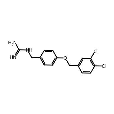 N=C(N)NCc1ccc(OCc2ccc(Cl)c(Cl)c2)cc1